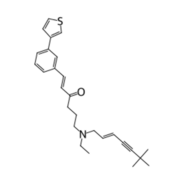 CCN(C/C=C/C#CC(C)(C)C)CCCC(=O)/C=C/c1cccc(-c2ccsc2)c1